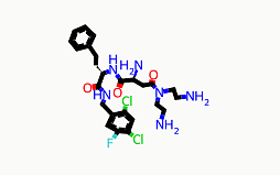 NCCN(CCN)C(=O)C[C@H](N)C(=O)N[C@@H](CCc1ccccc1)C(=O)NCc1cc(F)c(Cl)cc1Cl